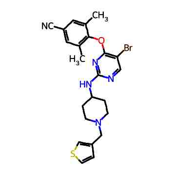 Cc1cc(C#N)cc(C)c1Oc1nc(NC2CCN(Cc3ccsc3)CC2)ncc1Br